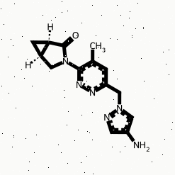 Cc1cc(Cn2cc(N)cn2)nnc1N1C[C@H]2C[C@H]2C1=O